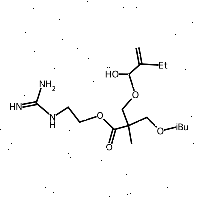 C=C(CC)C(O)OCC(C)(COC(C)CC)C(=O)OCCNC(=N)N